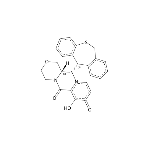 O=C1c2c(O)c(=O)ccn2N([C@H]2c3ccccc3CSc3ccccc32)[C@H]2COCCN12